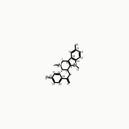 C=C(CC1CN(C)Cc2c1n(C)c1ccc(C)cc21)c1ccc(F)cc1